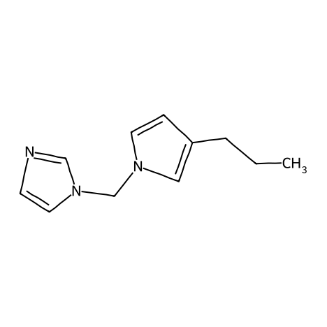 CCCc1ccn(Cn2ccnc2)c1